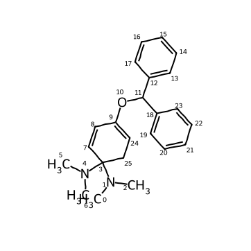 CN(C)C1(N(C)C)C=CC(OC(c2ccccc2)c2ccccc2)=CC1